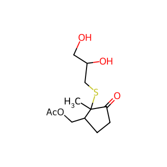 CC(=O)OCC1CCC(=O)C1(C)SCC(O)CO